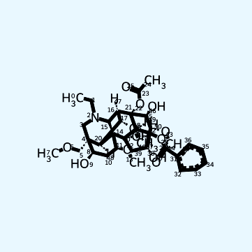 CCN1C[C@]2(COC)[C@H](O)C[C@H](OC)[C@]34C1[C@H]([C@H](OC)[C@H]23)[C@]1(OC(C)=O)[C@H]2[C@@H](OC(=O)c3ccccc3)[C@](O)(C[C@]24O)[C@@H](OC)[C@@H]1O